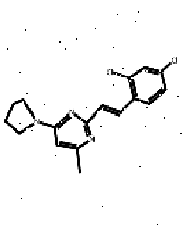 Cc1cc(N2CCCC2)nc(/C=C/c2ccc(Cl)cc2Cl)n1